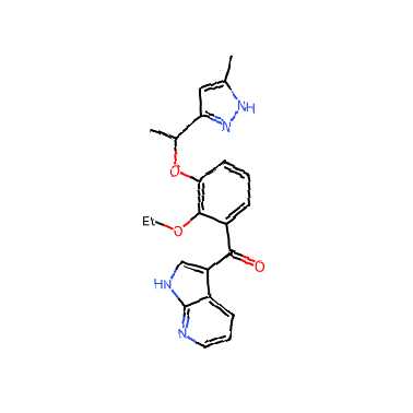 CCOc1c(OC(C)c2cc(C)[nH]n2)cccc1C(=O)c1c[nH]c2ncccc12